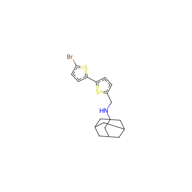 Brc1ccc(-c2ccc(CNC34CC5CC(CC(C5)C3)C4)s2)s1